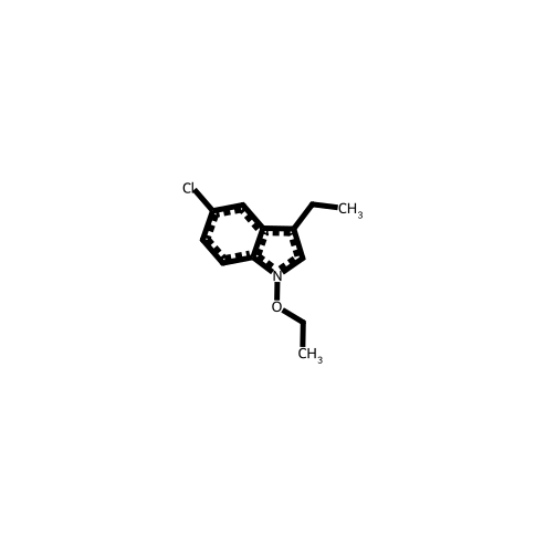 CCOn1cc(CC)c2cc(Cl)ccc21